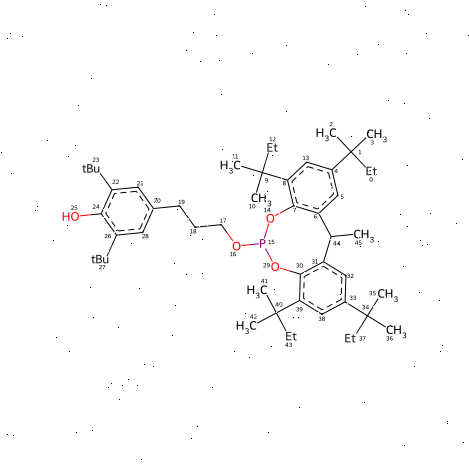 CCC(C)(C)c1cc2c(c(C(C)(C)CC)c1)OP(OCCCc1cc(C(C)(C)C)c(O)c(C(C)(C)C)c1)Oc1c(cc(C(C)(C)CC)cc1C(C)(C)CC)C2C